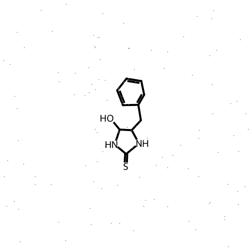 OC1NC(=S)NC1Cc1ccccc1